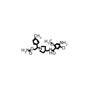 COc1cc(N)c(Cl)cc1C(=O)NCC1CCN(C(COC(N)=O)c2ccc(C)cc2)CC1